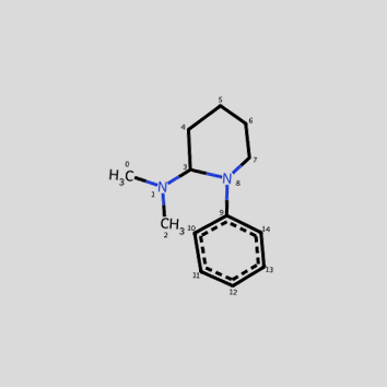 CN(C)C1CCCCN1c1ccccc1